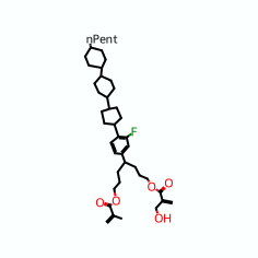 C=C(C)C(=O)OCCCC(CCCOC(=O)C(=C)CO)c1ccc(C2CCC(C3CCC(C4CCC(CCCCC)CC4)CC3)CC2)c(F)c1